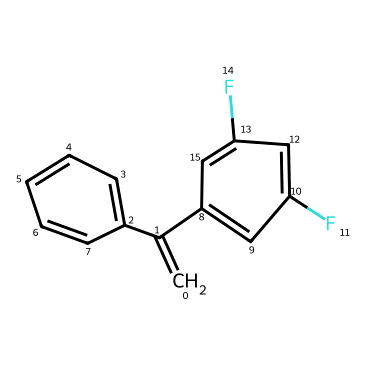 C=C(c1ccccc1)c1cc(F)cc(F)c1